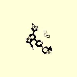 ClOCl.Cn1cc(-c2cc(-c3ccc(N4CCNC5(CC5)C4)nc3)c3c(C#N)cnn3c2)cn1